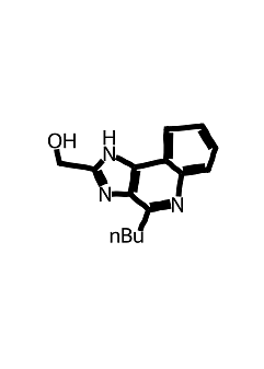 CCCCc1nc2ccccc2c2[nH]c(CO)nc12